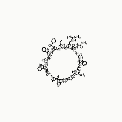 CCCC[C@H]1C(=O)N[C@@H](CCCNC(=N)N)C(=O)N[C@H](C(=O)NCC(N)=O)CSCC(=O)N[C@@H](Cc2ccccc2)C(=O)N(C)[C@@H](C)C(=O)N[C@@H](CC(N)=O)C(=O)N2CCC[C@H]2C(=O)N[C@@H](Cc2cnc[nH]2)C(=O)N[C@@H](CC(C)C)C(=O)N(C)CC(=O)N[C@@H](Cc2c[nH]c3ccccc23)C(=O)N[C@@H](CO)C(=O)N[C@@H](Cc2c[nH]c3ccccc23)C(=O)N[C@@H](CNC(=O)C2CCCCC2)C(=O)N1C